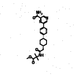 COC(=O)C(C)(C)NC(=O)C[C@H]1CC[C@H](c2ccc(-c3cncc(C(N)=O)n3)cc2)CC1